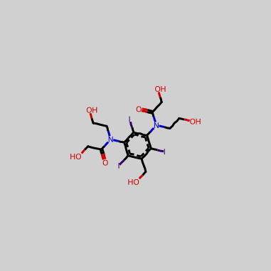 O=C(CO)N(CCO)c1c(I)c(CO)c(I)c(N(CCO)C(=O)CO)c1I